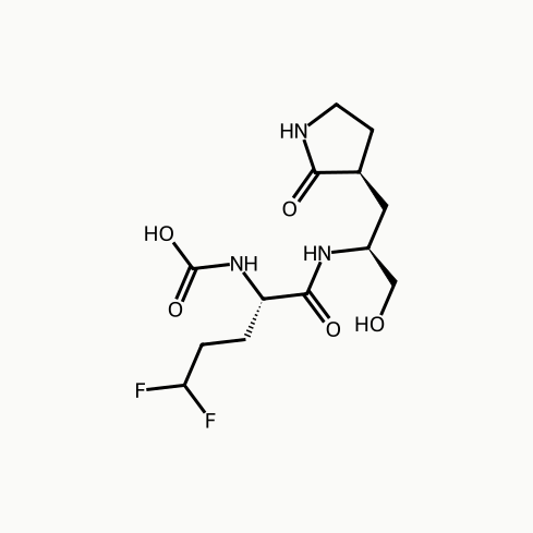 O=C(O)N[C@@H](CCC(F)F)C(=O)N[C@H](CO)C[C@@H]1CCNC1=O